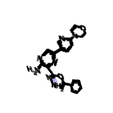 C=C(O/C(=N\N)c1nc(-c2ccc(N3CCOCC3)nc2)cnc1N)c1ccccc1